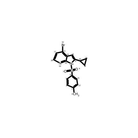 Cc1ccc(S(=O)(=O)n2c(C3CC3)cc3c(Br)ccnc32)cc1